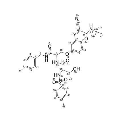 Cc1ccc(CNC(=O)C(COc2cccc(C=C(C#N)C(=O)NC(C)(C)C)c2)NC(=O)C(NS(=O)(=O)c2ccc(C)cc2)C(C)O)cc1